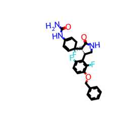 NC(=O)NC1=CC[C@](F)([C@@H]2C(=O)NCC2c2c(F)ccc(OCc3ccccc3)c2F)C=C1